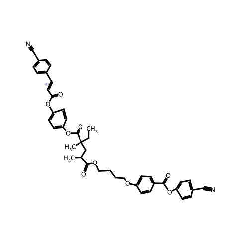 CCC(C)(CC(C)C(=O)OCCCCOc1ccc(C(=O)Oc2ccc(C#N)cc2)cc1)C(=O)Oc1ccc(OC(=O)/C=C/c2ccc(C#N)cc2)cc1